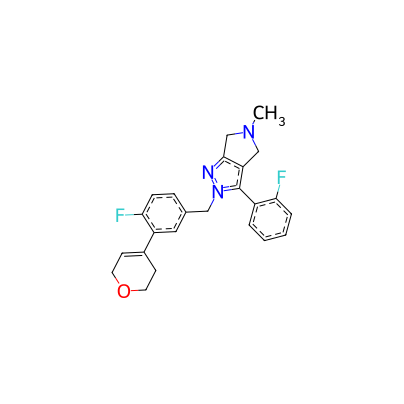 CN1Cc2nn(Cc3ccc(F)c(C4=CCOCC4)c3)c(-c3ccccc3F)c2C1